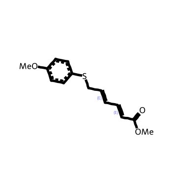 COC(=O)/C=C/C=C/CSc1ccc(OC)cc1